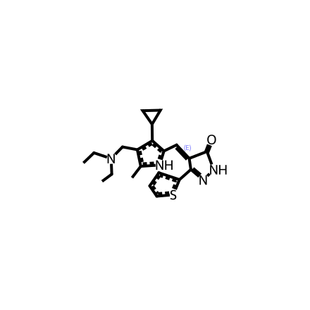 CCN(CC)Cc1c(C)[nH]c(/C=C2/C(=O)NN=C2c2cccs2)c1C1CC1